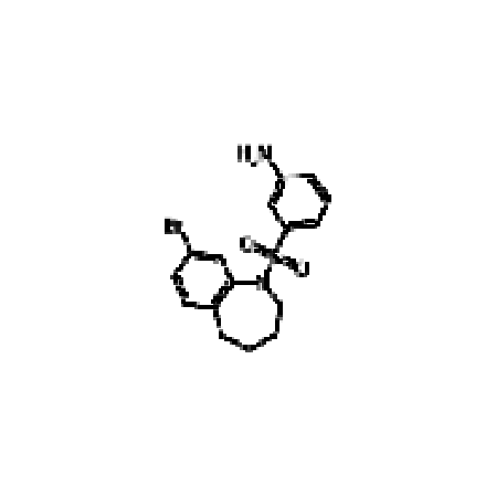 Nc1cccc(S(=O)(=O)N2CCCCc3ccc(Br)cc32)c1